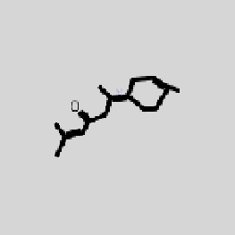 CC(C)=CC(=O)C/C(C)=C1/CC=C(C)CC1